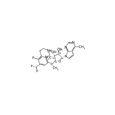 Cc1ncnc2c1ccn2[C@@H]1O[C@H]([C@H](C)c2cc(C(F)F)c(F)c3c2CNCC3)[C@@](C)(O)[C@H]1O